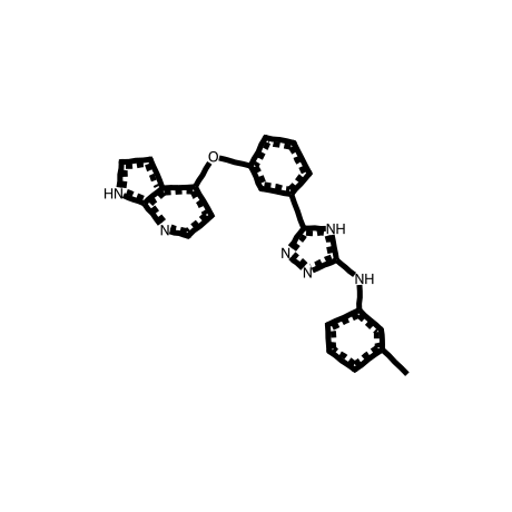 Cc1cccc(Nc2nnc(-c3cccc(Oc4ccnc5[nH]ccc45)c3)[nH]2)c1